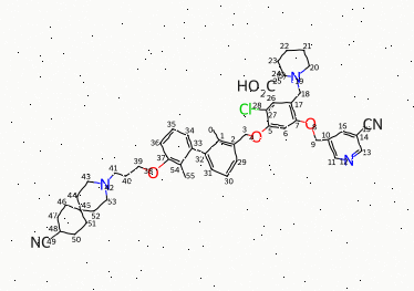 Cc1c(COc2cc(OCc3cncc(C#N)c3)c(CN3CCCC[C@H]3C(=O)O)cc2Cl)cccc1-c1cccc(OCCCN2CCC3(CCC(C#N)CC3)CC2)c1C